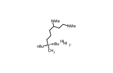 CCCC[N+](C)(CCCC)CCCC(CCNC)NC.I.I.[I-]